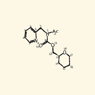 CC(=O)N(Cc1ccccn1)C(=O)OC[C@@H]1[C]CCCO1